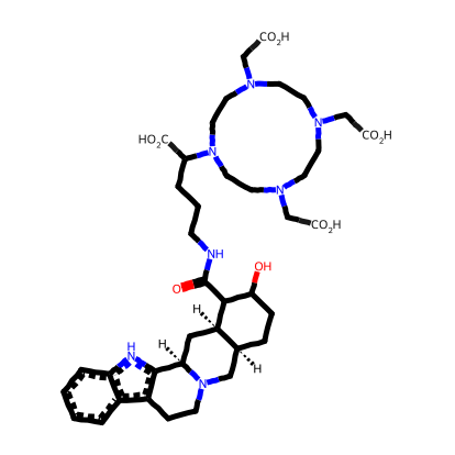 O=C(O)CN1CCN(CC(=O)O)CCN(C(CCCNC(=O)C2C(O)CC[C@H]3CN4CCc5c([nH]c6ccccc56)[C@H]4C[C@@H]23)C(=O)O)CCN(CC(=O)O)CC1